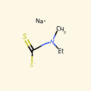 CCN(C)C(=S)[S-].[Na+]